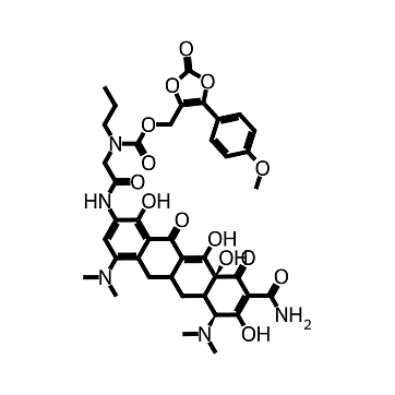 CCCN(CC(=O)Nc1cc(N(C)C)c2c(c1O)C(=O)C1=C(O)[C@]3(O)C(=O)C(C(N)=O)=C(O)[C@@H](N(C)C)C3CC1C2)C(=O)OCc1oc(=O)oc1-c1ccc(OC)cc1